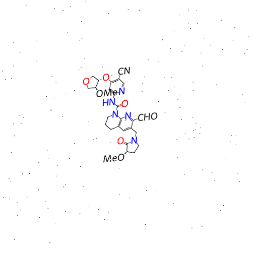 CO[C@H]1COC[C@@H]1Oc1cc(NC(=O)N2CCCc3cc(CN4CC[C@@H](OC)C4=O)c(C=O)nc32)ncc1C#N